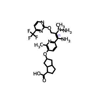 Cc1nc(/C(N)=C(\COc2nccc(C(F)(F)F)n2)N(C)N)ccc1OC1CC2CCC(C(=O)O)C2C1